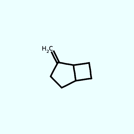 C=C1CCC2CCC12